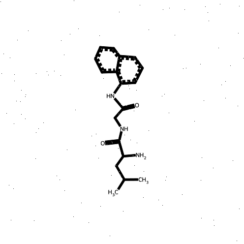 CC(C)CC(N)C(=O)NCC(=O)Nc1cccc2ccccc12